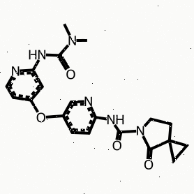 CN(C)C(=O)Nc1cc(Oc2ccc(NC(=O)N3CCC4(CC4)C3=O)nc2)ccn1